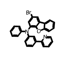 Brc1cc(N(c2ccccc2)c2cccc(-c3ccccn3)c2)c2oc3ccccc3c2c1